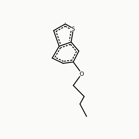 CCCCOc1ccc2c[c]sc2c1